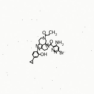 C=CC(=O)N1CCc2nn(-c3ccc(C4CC4)cc3O)c3c2[C@H](C1)N(C(=O)c1nnc(Br)cc1N)CC3